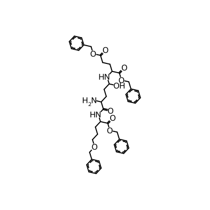 NC(CCC(O)NC(CCC(=O)OCc1ccccc1)C(=O)OCc1ccccc1)C(=O)NC(CCCOCc1ccccc1)C(=O)OCc1ccccc1